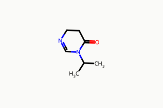 CC(C)N1C=NCCC1=O